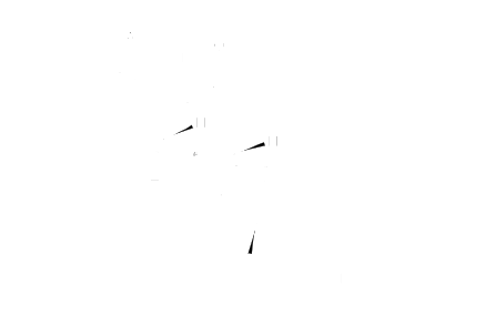 CC(=O)[C@H]1CC[C@H]2[C@@H]3CC[C@H]4C[C@](C)(O)CC[C@]4(C)[C@H]3CC(=O)[C@]12C